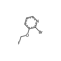 FCOc1cccnc1Br